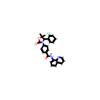 CC1(C)OC(=O)N(c2ccc(C(=O)Nc3cccc4cccnc34)cc2)C1c1ccccc1F